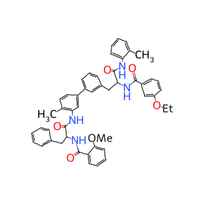 CCOc1cccc(C(=O)NC(Cc2cccc(-c3ccc(C)c(NC(=O)C(Cc4ccccc4)NC(=O)c4ccccc4OC)c3)c2)C(=O)Nc2ccccc2C)c1